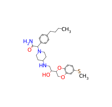 CCCCc1ccc(C(C(N)=O)N2CCC(NCC(O)C3COc4cc(SC)ccc4O3)CC2)cc1